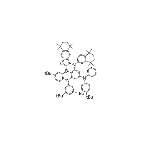 CC(C)(C)c1ccc(N(c2ccccc2)c2cc3c4c(c2)N(c2ccc5c(c2)C(C)(C)CCC5(C)C)c2c(oc5cc6c(cc25)C(C)(C)CCC6(C)C)B4c2cc(C(C)(C)C)ccc2N3c2cc(C(C)(C)C)cc(C(C)(C)C)c2)cc1